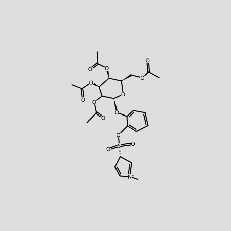 CC(=O)OC[C@H]1O[C@@H](Oc2ccccc2OS(=O)(=O)[C@H]2C=C[N+](C)=C2)C(OC(C)=O)[C@@H](OC(C)=O)[C@H]1OC(C)=O